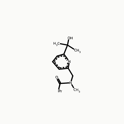 CC(C)C(=O)N(C)Cc1cccc(C(C)(C)O)n1